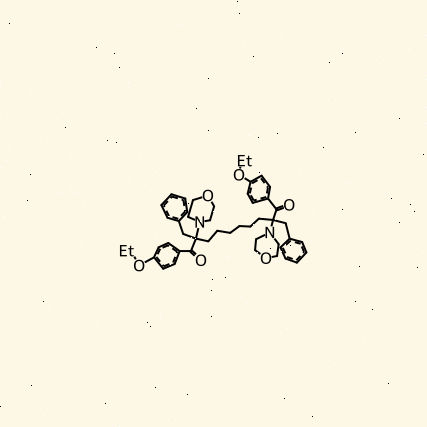 CCOc1ccc(C(=O)C(CCCCCCC(Cc2ccccc2)(C(=O)c2ccc(OCC)cc2)N2CCOCC2)(Cc2ccccc2)N2CCOCC2)cc1